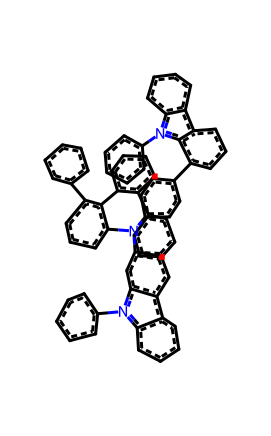 c1ccc(-c2ccccc2-c2c(-c3ccccc3)cccc2N(c2ccc(-c3cccc4c5ccccc5n(-c5ccccc5)c34)cc2)c2ccc3c4ccccc4n(-c4ccccc4)c3c2)cc1